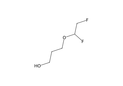 OCCCOC(F)CF